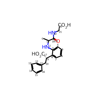 CC(Nc1ccccc1[C@H](Cc1ccccc1)C(=O)O)C(=O)NCC(=O)O